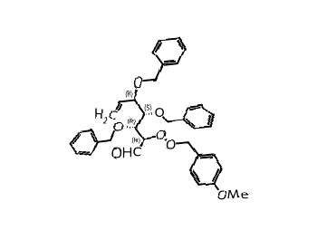 C=C[C@@H](OCc1ccccc1)[C@H](OCc1ccccc1)[C@@H](OCc1ccccc1)[C@H](C=O)OOCc1ccc(OC)cc1